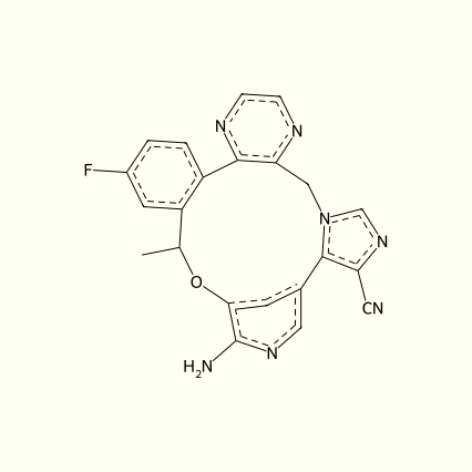 CC1Oc2cc(cnc2N)-c2c(C#N)ncn2Cc2nccnc2-c2ccc(F)cc21